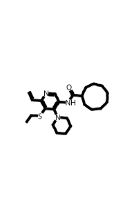 C=Cc1ncc(NC(=O)C2CCCCCCCC2)c(N2CCCCC2)c1SCC